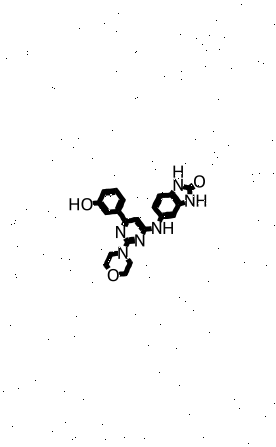 O=c1[nH]c2ccc(Nc3cc(-c4cccc(O)c4)nc(N4CCOCC4)n3)cc2[nH]1